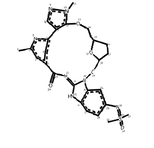 Cc1cc2cc(n1)-c1cnn(C)c1OCC1CCC(CN3/C(=N/C2=O)Nc2ccc(N=S(C)(C)=O)cc23)O1